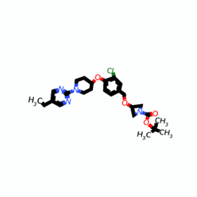 CCc1cnc(N2CCC(Oc3ccc(COC4CN(C(=O)OC(C)(C)C)C4)cc3Cl)CC2)nc1